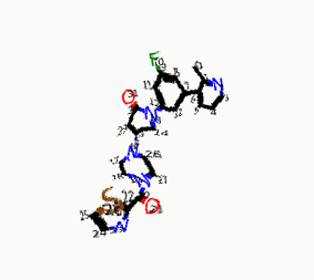 Cc1ncccc1-c1cc(F)cc(N2C[C@H](N3CCN(C(=O)c4nccs4)CC3)CC2=O)c1